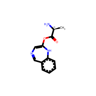 C[C@H](N)C(=O)OC1=CN=Cc2ccccc2N1